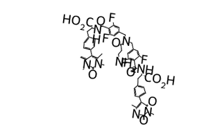 C=C1C(c2ccc(C[C@H](NC(=O)c3c(F)cc(CN(Cc4cc(F)c(C(=O)N[C@@H](Cc5ccc(-c6c(C)n(C)c(=O)n(C)c6=O)cc5)C(=O)O)c(F)c4)C(=O)CCN)cc3F)C(=O)O)cc2)=C(C)N(C)C(=O)N1C